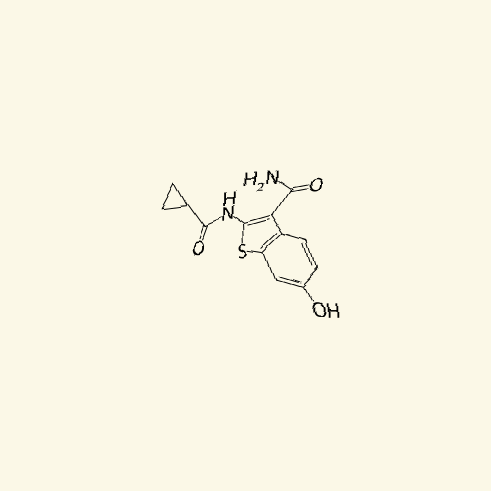 NC(=O)c1c(NC(=O)C2CC2)sc2cc(O)ccc12